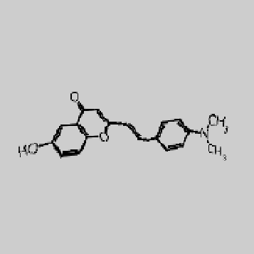 CN(C)c1ccc(C=Cc2cc(=O)c3cc(O)ccc3o2)cc1